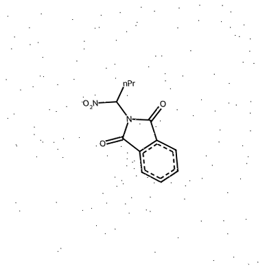 CCCC(N1C(=O)c2ccccc2C1=O)[N+](=O)[O-]